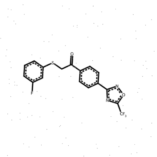 O=C(CSc1cccc(F)c1)c1ccc(-c2noc(C(F)(F)F)n2)cc1